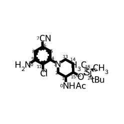 CC(=O)NC1CN(c2cc(C#N)cc(N)c2Cl)CCC1O[Si](C)(C)C(C)(C)C